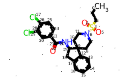 CCCS(=O)(=O)N1CCC2(CC1)c1ccccc1CC2NC(=O)c1ccc(Cl)c(Cl)c1